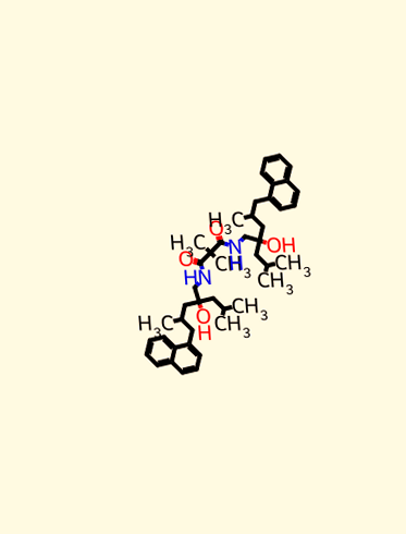 CC(C)CC(O)(CNC(=O)C(C)(C)C(=O)NCC(O)(CC(C)C)CC(C)Cc1cccc2ccccc12)CC(C)Cc1cccc2ccccc12